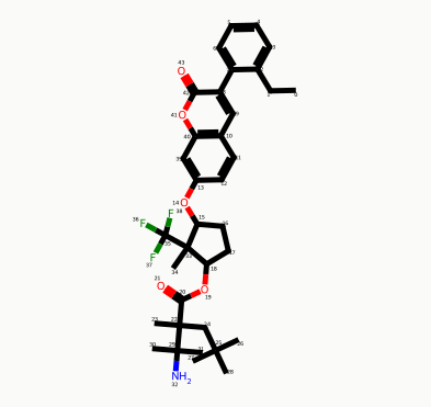 CCc1ccccc1-c1cc2ccc(OC3CCC(OC(=O)C(C)(CC(C)(C)C)C(C)(C)N)C3(C)C(F)(F)F)cc2oc1=O